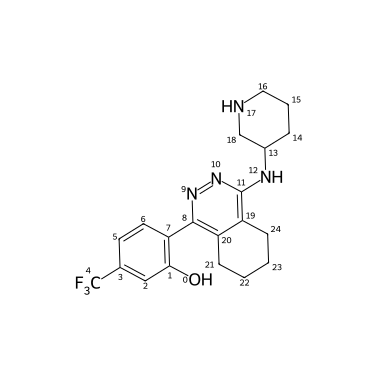 Oc1cc(C(F)(F)F)ccc1-c1nnc(NC2CCCNC2)c2c1CCCC2